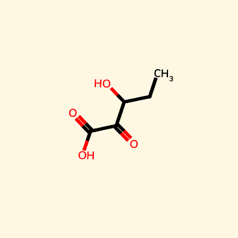 CCC(O)C(=O)C(=O)O